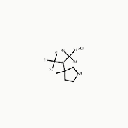 Cl.[2H]C([2H])([2H])N(C([2H])([2H])[2H])C1(C)CCNC1